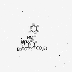 CCOC(=O)C1=C[C@@H](OC(CC)CC)[C@@H](O)[C@H](NCc2ccccc2)C1